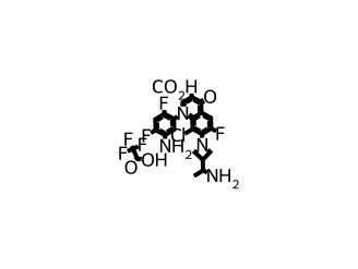 CC(N)C1CN(c2c(F)cc3c(=O)c(C(=O)O)cn(-c4cc(N)c(F)cc4F)c3c2Cl)C1.O=C(O)C(F)(F)F